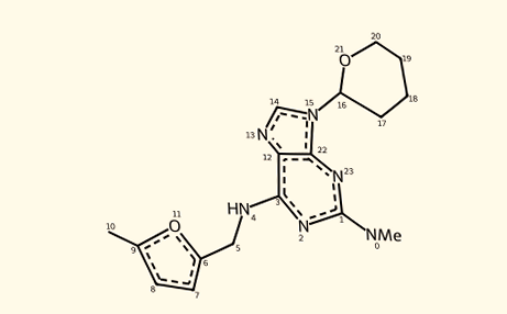 CNc1nc(NCc2ccc(C)o2)c2ncn(C3CCCCO3)c2n1